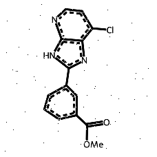 COC(=O)c1cccc(-c2nc3c(Cl)ccnc3[nH]2)c1